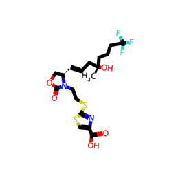 C[C@@](O)(CC=C[C@H]1COC(=O)N1CCSc1nc(C(=O)O)cs1)CCCC(F)(F)F